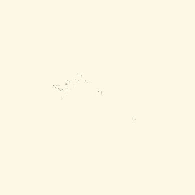 COCCOCCOCCOCCNC(=O)CCC(=O)NCc1cc(C(=O)N[C@H](C)C(=O)N2CC(F)(F)C[C@H]2C#N)ccn1